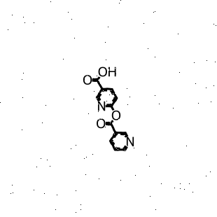 O=C(O)c1ccc(OC(=O)c2cccnc2)nc1